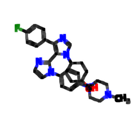 CN1CCN(c2ccc(-n3ccnc3-c3c(-c4ccc(F)cc4)ncn3C3CCC(O)CC3)cc2)CC1